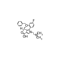 Cc1c(C(=O)O)cn(CCN(C)C)c1-c1ccc(F)cc1OCc1ccccc1